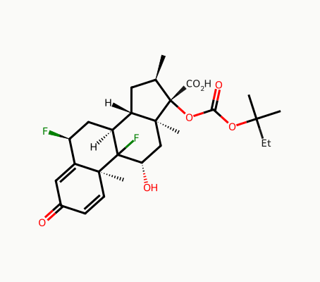 CCC(C)(C)OC(=O)O[C@@]1(C(=O)O)[C@H](C)C[C@H]2[C@@H]3C[C@H](F)C4=CC(=O)C=C[C@]4(C)C3(F)[C@@H](O)C[C@@]21C